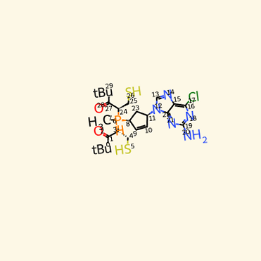 CC(C)(C)C(=O)[C@@H](CS)[PH](C)([C@@H]1C=C[C@H](n2cnc3c(Cl)nc(N)nc32)C1)[C@H](CS)C(=O)C(C)(C)C